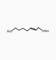 CCCCCCC/C=C/CCCCOC(C)=O